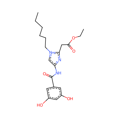 CCCCCCn1cc(NC(=O)c2cc(O)cc(O)c2)nc1CC(=O)OCC